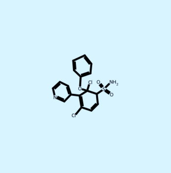 NS(=O)(=O)C1C=CC(Cl)=C(c2cccnc2)C1(Cl)Oc1ccccc1